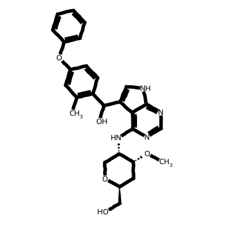 CO[C@@H]1C[C@@H](CO)OC[C@@H]1Nc1ncnc2[nH]cc(C(O)c3ccc(Oc4ccccc4)cc3C)c12